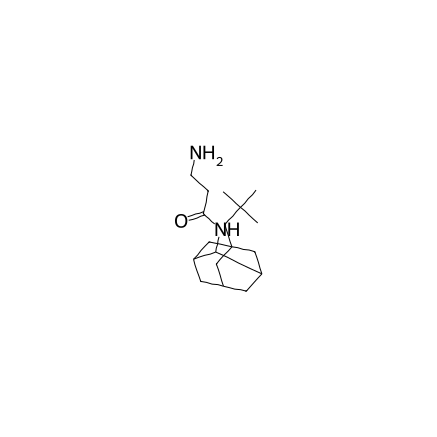 CC(C)(C)CC12CC3CC(C1)C(NC(=O)CCN)C(C3)C2